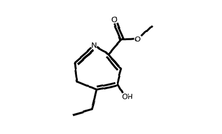 CCC1=C(O)C=C(C(=O)OC)N=CC1